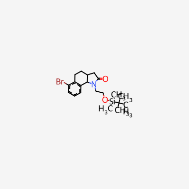 CC(C)(C)[Si](C)(C)OCCN1C(=O)CC2CCc3c(Br)cccc3C21